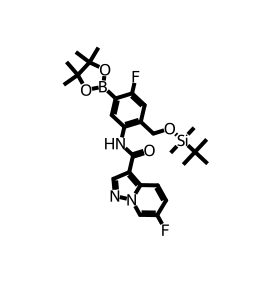 CC1(C)OB(c2cc(NC(=O)c3cnn4cc(F)ccc34)c(CO[Si](C)(C)C(C)(C)C)cc2F)OC1(C)C